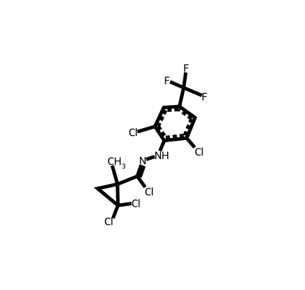 CC1(C(Cl)=NNc2c(Cl)cc(C(F)(F)F)cc2Cl)CC1(Cl)Cl